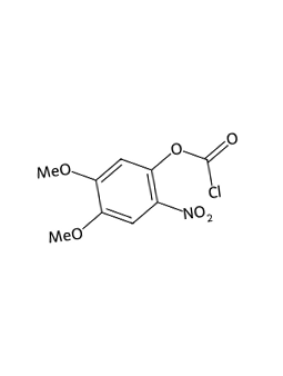 COc1cc(OC(=O)Cl)c([N+](=O)[O-])cc1OC